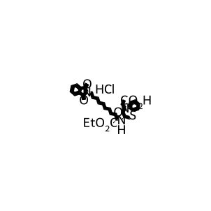 CCOC(=O)[C@H](CCCCCCCCCN1C(=O)c2ccccc2C1=O)N[C@H]1CSc2ccccc2N(CC(=O)O)C1=O.Cl